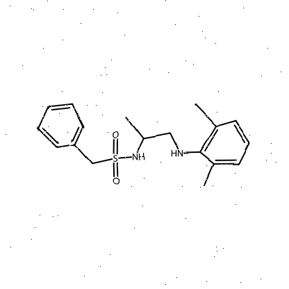 Cc1cccc(C)c1NCC(C)NS(=O)(=O)Cc1ccccc1